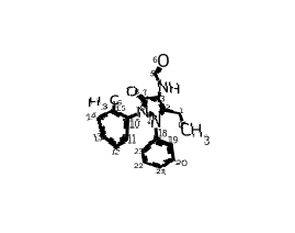 CCc1c(NC=O)c(=O)n(-c2ccccc2C)n1-c1ccccc1